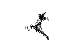 C#CCn1c(=O)n(C(=O)NCc2ccc(NC(=O)C(CCCNC(N)=O)NC(=O)C(NC(=O)COCCOCCOCCN=C=S)C(C)C)cc2)c2c(N)nc(OCCCC)nc21